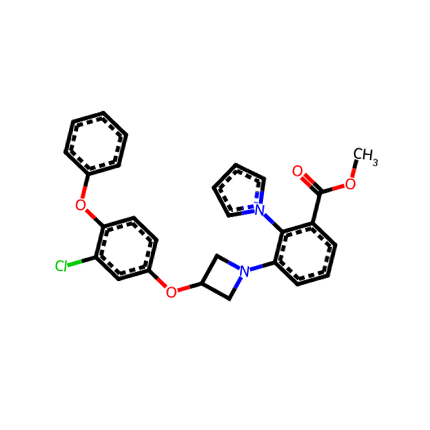 COC(=O)c1cccc(N2CC(Oc3ccc(Oc4ccccc4)c(Cl)c3)C2)c1-n1cccc1